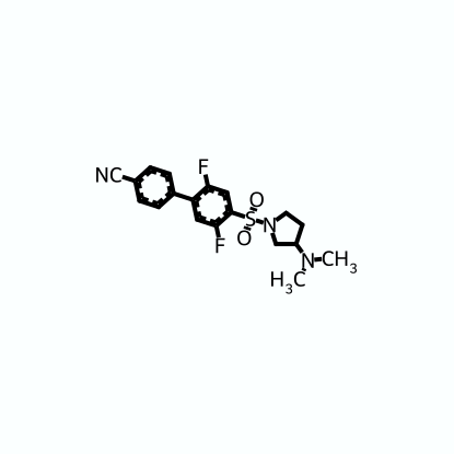 CN(C)C1CCN(S(=O)(=O)c2cc(F)c(-c3ccc(C#N)cc3)cc2F)C1